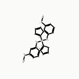 ClSc1cccc([O][Zr]([O]c2cccc(SCl)c2)([C]2=CC=CC2)[C]2=CC=CC2)c1